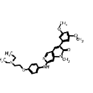 CCN(CC)CCOc1ccc(Nc2cc3c(cn2)cc(-c2cc(OC)cc(OC)c2)c(=O)n3C)cc1